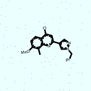 COc1ccc2c(Cl)cc(-c3cnn(CC(C)C)c3)nc2c1C